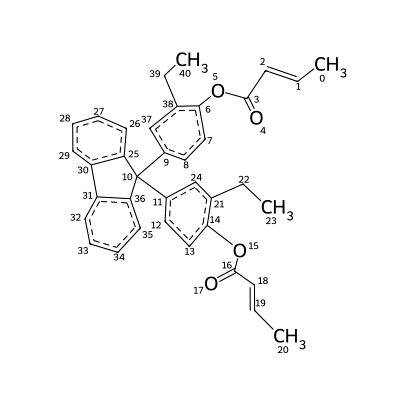 CC=CC(=O)Oc1ccc(C2(c3ccc(OC(=O)C=CC)c(CC)c3)c3ccccc3-c3ccccc32)cc1CC